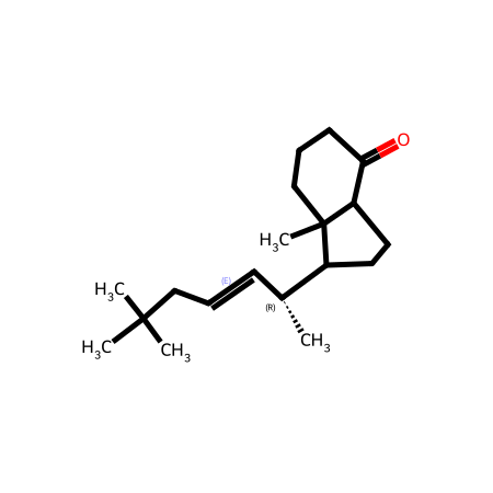 C[C@H](/C=C/CC(C)(C)C)C1CCC2C(=O)CCCC21C